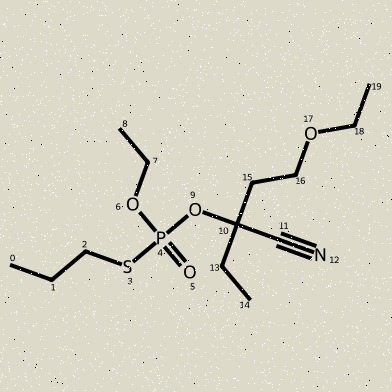 CCCSP(=O)(OCC)OC(C#N)(CC)CCOCC